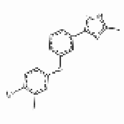 Cc1nnc(-c2cccc(Oc3ccc(N)c(F)c3)c2)o1